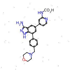 Nc1n[nH]c2c(-c3ccc(CN4CCOCC4)cc3)cc(-c3ccnc(NC(=O)O)c3)cc12